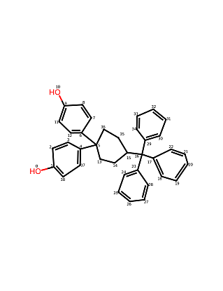 Oc1ccc(C2(c3ccc(O)cc3)CCC(C(c3ccccc3)(c3ccccc3)c3ccccc3)CC2)cc1